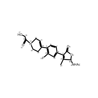 CC(=O)N[C@@H]1OC(=O)C(c2ccc(C3=CCN(C(=O)CO)CC3)c(F)c2)=C1C